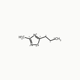 CCCc1nc(C)ns1